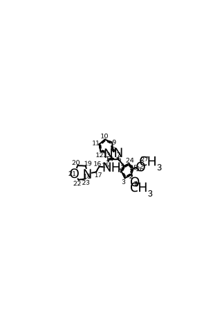 COc1ccc(-c2nc3ccccn3c2NCCN2CCOCC2)cc1OC